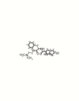 CN(C)CCN1C(=O)C(NC(=O)c2cc3cc(Cl)sc3[nH]2)Cc2ccccc21